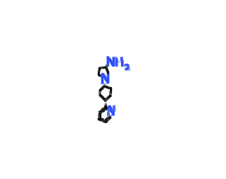 NC1CCN([C@H]2CC[C@H](c3ccccn3)CC2)C1